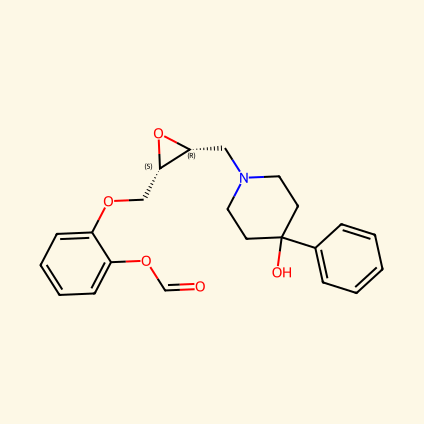 O=COc1ccccc1OC[C@@H]1O[C@@H]1CN1CCC(O)(c2ccccc2)CC1